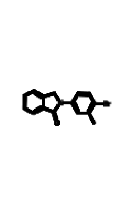 Cc1cc(N2Cc3ccccc3C2=O)ccc1Br